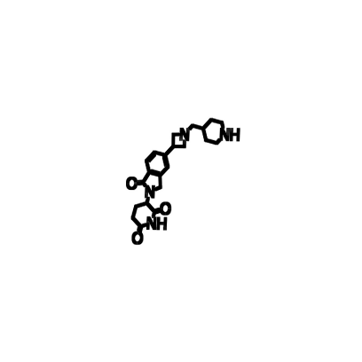 O=C1CCC(N2Cc3cc(C4CN(CC5CCNCC5)C4)ccc3C2=O)C(=O)N1